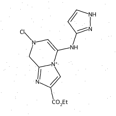 CCOC(=O)C1=C[N+]2C(Nc3cc[nH]n3)=CN(Cl)CC2=N1